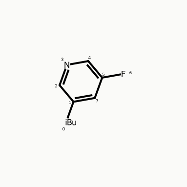 CCC(C)c1cncc(F)c1